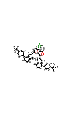 Cc1ccc(C2=Cc3c(-c4ccc([Si](C)(C)C)cc4)cccc3[CH]2[Zr+2][CH]2C(c3ccc(C)o3)=Cc3c(-c4ccc([Si](C)(C)C)cc4)cccc32)o1.[Cl-].[Cl-]